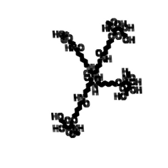 CC(=O)N[C@H]1C(O)[C@@H](O)C(CO)O[C@H]1OCCCCCC(=O)NCCCCC(NC(=O)CCCCCO[C@@H]1OC(CO)[C@H](O)C(O)[C@@H]1NC(C)=O)C(=O)NC(CCCCNC(=O)CCCCCO[C@@H]1OC(CO)[C@H](O)C(O)[C@@H]1NC(C)=O)C(=O)NCCCCCC(=O)NCCOP(C)(=O)O